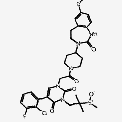 COc1ccc2c(c1)CCN(C1CCN(C(=O)Cn3cc(-c4cccc(F)c4Cl)c(=O)n(CC(C)(C)[S+](C)[O-])c3=O)CC1)C(=O)N2